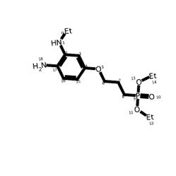 CCNc1cc(OCCCP(=O)(OCC)OCC)ccc1N